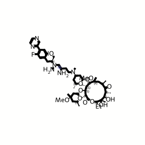 CC[C@H]1OC(=O)[C@H](C)[C@@H](O[C@H]2C[C@@](C)(OC)C[C@H](C)O2)[C@H](C)[C@@H](O[C@H]2C[C@@H](N(C)CC/C(N)=C/N(N)[C@H](CO)Cc3ccc(-c4cnccn4)c(F)c3)C[C@@H](C)O2)[C@](C)(OC)C[C@@H](C)C(=O)[C@H](C)[C@@H](O)[C@]1(C)O